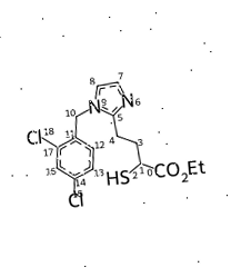 CCOC(=O)C(S)CCc1nccn1Cc1ccc(Cl)cc1Cl